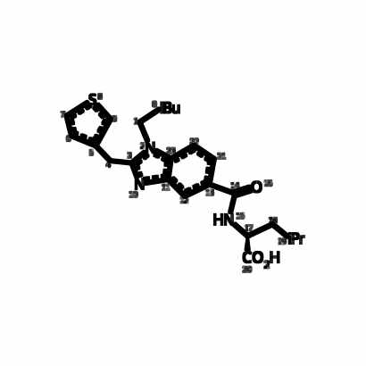 CCC(C)Cn1c(Cc2ccsc2)nc2cc(C(=O)N[C@@H](CC(C)C)C(=O)O)ccc21